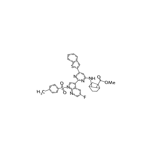 COC(=O)C1C2CCC(CC2)C1Nc1cc(-c2cc3ccccc3s2)nc(-c2cn(S(=O)(=O)c3ccc(C)cc3)c3ncc(F)cc23)n1